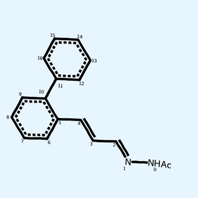 CC(=O)N/N=C/C=C/c1ccccc1-c1ccccc1